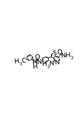 Cc1cccc(NC(=O)Nc2ccc(-c3csc4c(C(N)=O)cnc(N)c34)cc2)c1